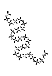 C[SiH](C)OO[Si](C)(C)O[Si](C)(C)O[Si](C)(C)O[Si](C)(C)O[Si](C)(C)O[Si](C)(C)O[Si](C)(C)O[Si](C)(C)O[Si](C)(C)O[Si](C)(C)O[Si](C)(C)O[Si](C)(C)O[Si](C)(C)O[Si](C)(C)O[Si](C)(C)O[Si](C)(C)O[Si](C)(C)O[Si](C)(C)O[Si](C)(C)O[Si](C)(C)O[Si](C)(C)O[Si](C)(C)O[Si](C)(C)O[SiH](C)C